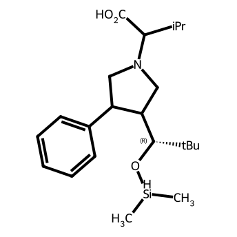 CC(C)C(C(=O)O)N1CC(c2ccccc2)C([C@@H](O[SiH](C)C)C(C)(C)C)C1